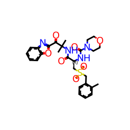 Cc1ccccc1CS(=O)(=O)C[C@H](NC(=O)N1CCOCC1)C(=O)NC(C)(C)C(=O)c1nc2ccccc2o1